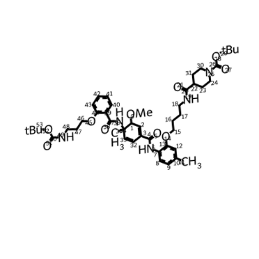 COC1C=C(C(=O)Nc2ccc(C)cc2OCCCCNC(=O)C2CCN(C(=O)OC(C)(C)C)CC2)C=CC1(C)NC(=O)c1ccccc1OCCCNC(=O)OC(C)(C)C